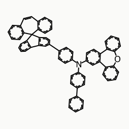 C1=Cc2ccccc2C2(c3ccccc31)c1ccccc1-c1cc(-c3ccc(N(c4ccc(-c5ccccc5)cc4)c4ccc5c(c4)-c4ccccc4Oc4ccccc4-5)cc3)ccc12